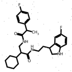 CC(C(=O)NCC(C(=O)NCCC1CNc2ccc(F)cc21)C1CCCCC1)c1ccc(F)cc1